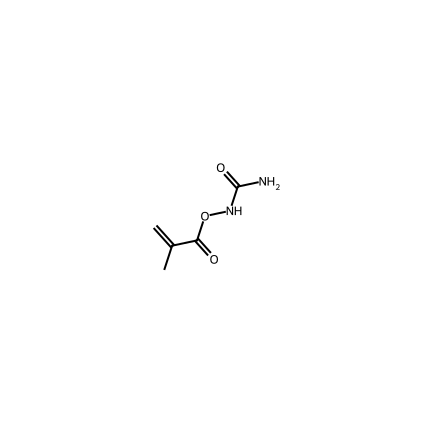 C=C(C)C(=O)ONC(N)=O